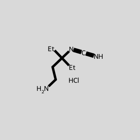 CCC(CC)(CCN)N=C=N.Cl